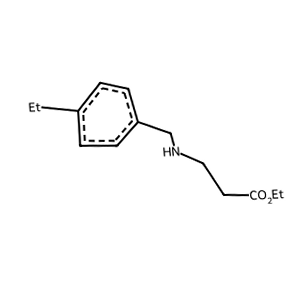 CCOC(=O)CCNCc1ccc(CC)cc1